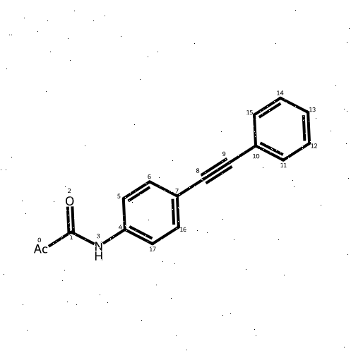 CC(=O)C(=O)Nc1ccc(C#Cc2ccccc2)cc1